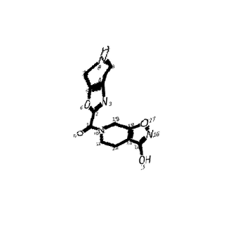 O=C(c1nc2c(o1)CNC2)N1CCc2c(O)noc2C1